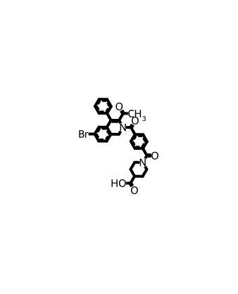 CC(=O)C1=C(c2ccccc2)c2cc(Br)ccc2CN1C(=O)c1ccc(C(=O)N2CCC(C(=O)O)CC2)cc1